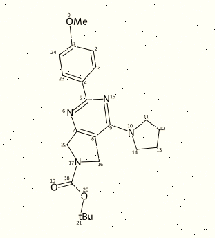 COc1ccc(-c2nc3c(c(N4CCCC4)n2)CN(C(=O)OC(C)(C)C)C3)cc1